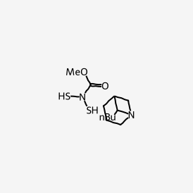 CCCCC1C2CCCN1C2.COC(=O)N(S)S